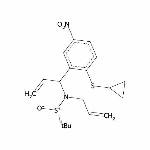 C=CCN(C(C=C)c1cc([N+](=O)[O-])ccc1SC1CC1)[S@@+]([O-])C(C)(C)C